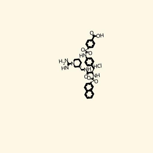 Cl.N=C(N)N1CCC[C@@H](CNC(=O)[C@@H](Cc2ccc(NS(=O)(=O)c3ccc(C(=O)O)cc3)cc2)NS(=O)(=O)c2ccc3ccccc3c2)C1